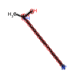 CCCCCCCCCCCC(CCCCCCCCCCC(=O)O)(C(=O)O)C(=O)NCCOCCOCCOCCOCCOCCOCCOCCOCCOCCOCCOCCOCCOCCOCCOCCOCCOCCOCCOCCOCCOCCOCCOCCN=[N+]=[N-]